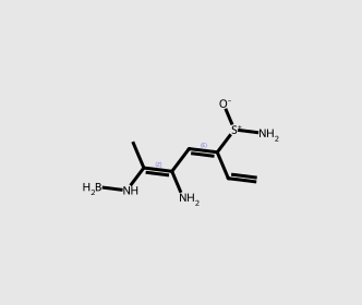 BN/C(C)=C(N)/C=C(\C=C)[S+](N)[O-]